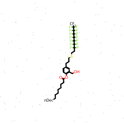 CCCCCCCCCCCCCCCCCC(=O)Oc1ccc(CCCSCCC(F)(F)C(F)(F)C(F)(F)C(F)(F)C(F)(F)C(F)(F)C(F)(F)C(F)(F)F)cc1CO